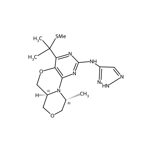 CSC(C)(C)c1nc(Nc2cn[nH]n2)nc2c1OC[C@@H]1COC[C@@H](C)N21